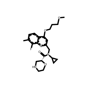 COCCCOc1cc(CN(C(=O)[C@H]2CNCCO2)C2CC2)nc2c(F)c(C)ccc12